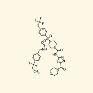 CCC(F)(F)c1ccc(CNC(=O)[C@H]2CN(C(=O)Nc3nnc(C(=O)N4CCOCC4)s3)CCN2S(=O)(=O)c2ccc(OC(F)(F)F)cc2)cc1